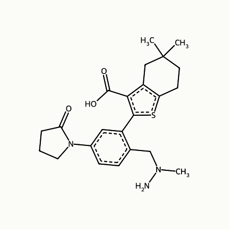 CN(N)Cc1ccc(N2CCCC2=O)cc1-c1sc2c(c1C(=O)O)CC(C)(C)CC2